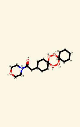 O=C(CC1CCC2(CC1)OOC1(CCCCC1)OO2)N1CCOCC1